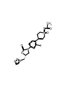 CC(=O)N=S1(=O)CC=C(c2ccc(N3C[C@H](Cn4ccnn4)OC3=O)cc2F)CC1